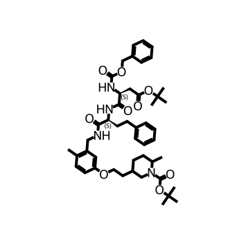 Cc1ccc(OCCC2CCC(C)N(C(=O)OC(C)(C)C)C2)cc1CNC(=O)[C@H](CCc1ccccc1)NC(=O)[C@H](CC(=O)OC(C)(C)C)NC(=O)OCc1ccccc1